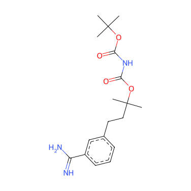 CC(C)(C)OC(=O)NC(=O)OC(C)(C)CCc1cccc(C(=N)N)c1